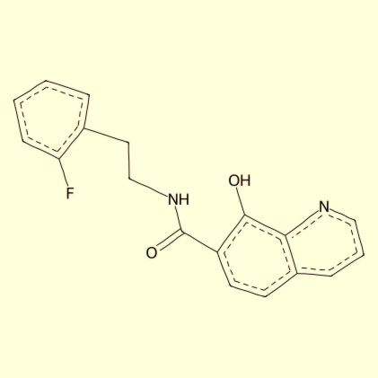 O=C(NCCc1ccccc1F)c1ccc2cccnc2c1O